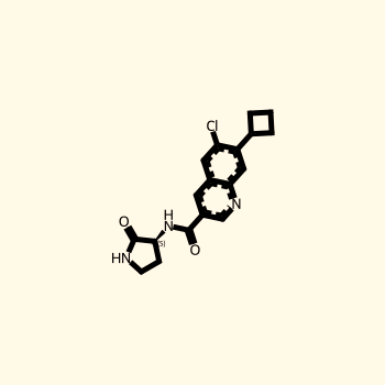 O=C(N[C@H]1CCNC1=O)c1cnc2cc(C3CCC3)c(Cl)cc2c1